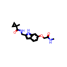 CNC(=O)COc1ccc2cc(CNC(=O)C3(C)CC3)[nH]c2c1